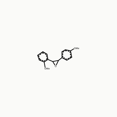 COc1ccc(C2OC2c2ccccc2OC)cc1